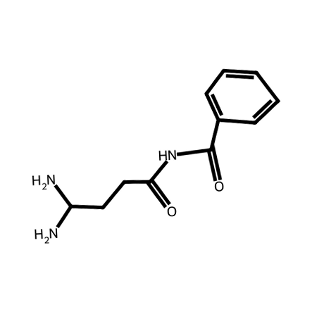 NC(N)CCC(=O)NC(=O)c1ccccc1